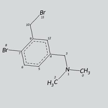 CN(C)Cc1ccc(Br)c(CBr)c1